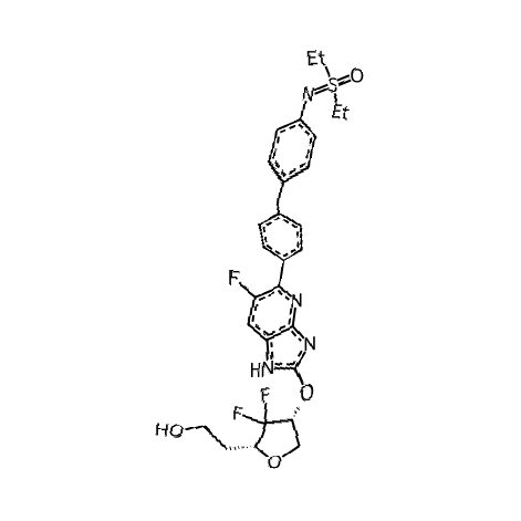 CCS(=O)(CC)=Nc1ccc(-c2ccc(-c3nc4nc(O[C@@H]5CO[C@H](CCO)C5(F)F)[nH]c4cc3F)cc2)cc1